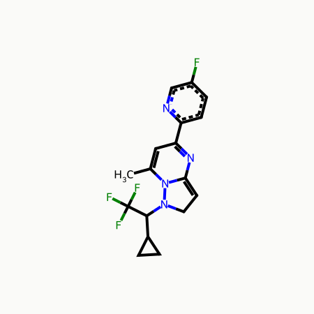 CC1=CC(c2ccc(F)cn2)=NC2=CCN(C(C3CC3)C(F)(F)F)N12